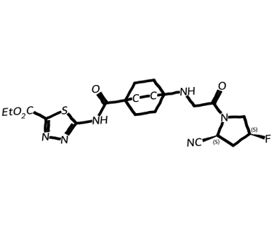 CCOC(=O)c1nnc(NC(=O)C23CCC(NCC(=O)N4C[C@@H](F)C[C@H]4C#N)(CC2)CC3)s1